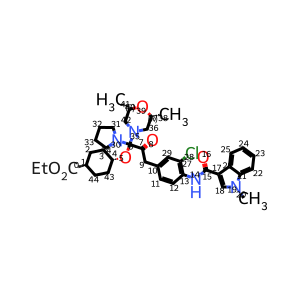 CCOC(=O)[C@H]1CC[C@H](OC(C(=O)Cc2ccc(NC(=O)c3cn(C)c4ccccc34)c(Cl)c2)(N2CCCC2)N2C[C@@H](C)O[C@@H](C)C2)CC1